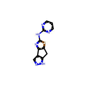 c1cnc(Nc2nc3c(s2)Cc2[nH]ncc2-3)nc1